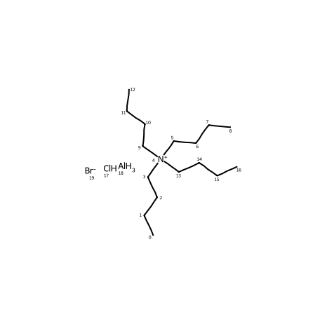 CCCC[N+](CCCC)(CCCC)CCCC.Cl.[AlH3].[Br-]